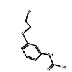 O=C(O)Nc1cccc(OCCBr)c1